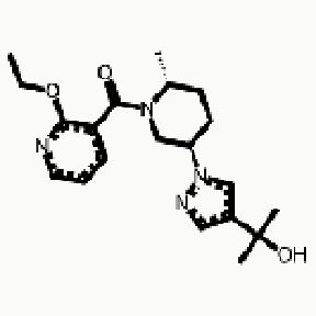 CCOc1ncccc1C(=O)N1C[C@H](n2cc(C(C)(C)O)cn2)CC[C@H]1C